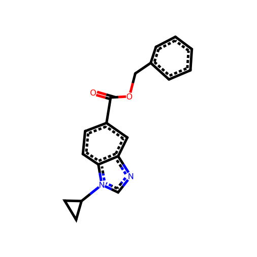 O=C(OCc1ccccc1)c1ccc2c(c1)ncn2C1CC1